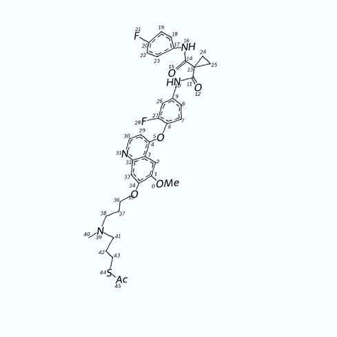 COc1cc2c(Oc3ccc(NC(=O)C4(C(=O)Nc5ccc(F)cc5)CC4)cc3F)ccnc2cc1OCCCN(C)CCCSC(C)=O